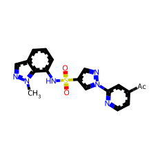 CC(=O)c1ccnc(-n2cc(S(=O)(=O)Nc3cccc4cnn(C)c34)cn2)c1